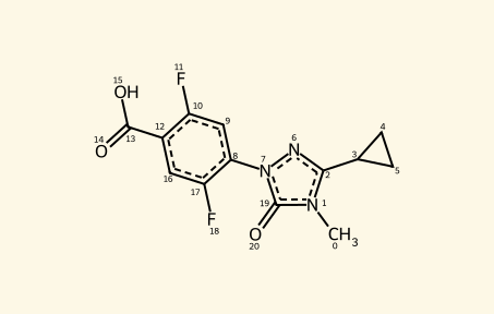 Cn1c(C2CC2)nn(-c2cc(F)c(C(=O)O)cc2F)c1=O